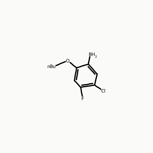 Bc1cc(Cl)c(F)cc1OCCCC